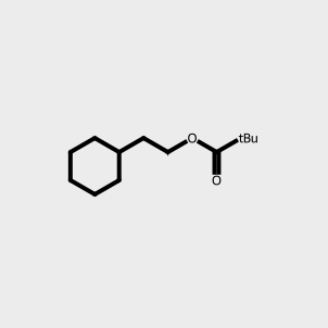 CC(C)(C)C(=O)O[CH]CC1CCCCC1